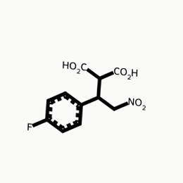 O=C(O)C(C(=O)O)C(C[N+](=O)[O-])c1ccc(F)cc1